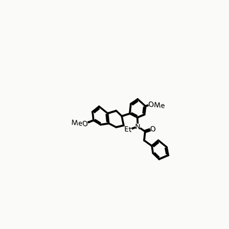 CCN(C(=O)Cc1ccccc1)c1cc(OC)ccc1C1CCc2cc(OC)ccc2C1